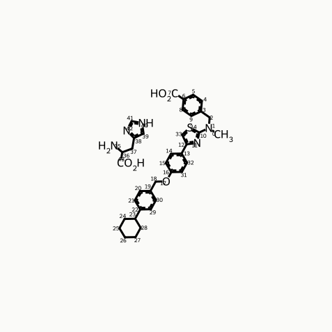 CN(Cc1ccc(C(=O)O)cc1)c1nc(-c2ccc(OCc3ccc(C4CCCCC4)cc3)cc2)cs1.NC(Cc1c[nH]cn1)C(=O)O